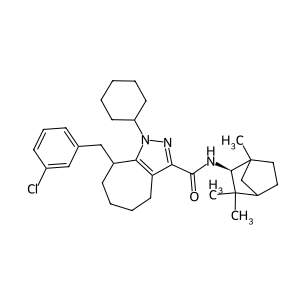 CC12CCC(C1)C(C)(C)[C@H]2NC(=O)c1nn(C2CCCCC2)c2c1CCCCC2Cc1cccc(Cl)c1